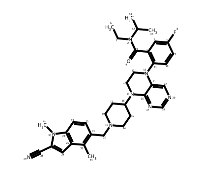 CCN(C(=O)c1cc(F)ccc1N1CCN(C2CCN(Cc3ccc4c(cc(C#N)n4C)c3C)CC2)c2ncncc21)C(C)C